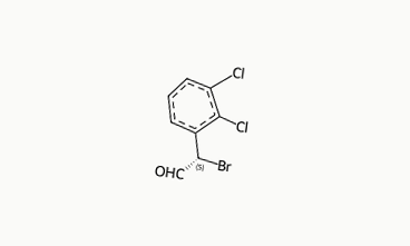 O=C[C@@H](Br)c1cccc(Cl)c1Cl